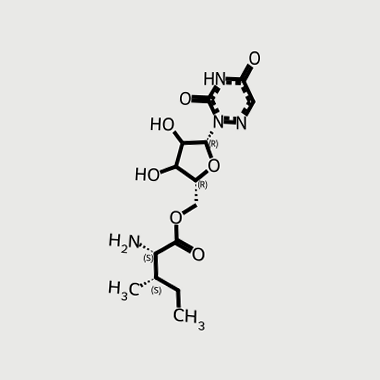 CC[C@H](C)[C@H](N)C(=O)OC[C@H]1O[C@@H](n2ncc(=O)[nH]c2=O)C(O)C1O